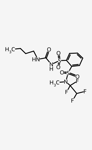 CCCCNC(=O)NS(=O)(=O)c1ccccc1S(=O)(=O)N(C)C(F)(F)C(F)F